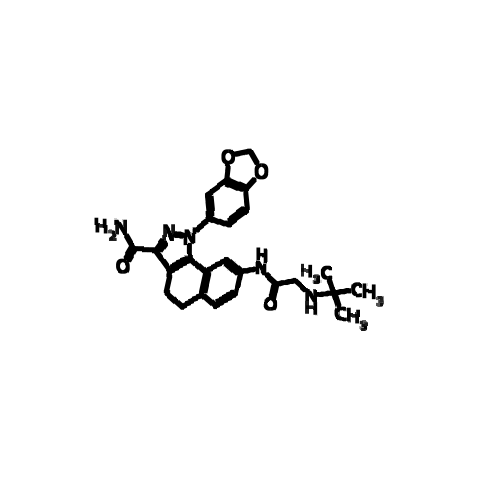 CC(C)(C)NCC(=O)Nc1ccc2c(c1)-c1c(c(C(N)=O)nn1-c1ccc3c(c1)OCO3)CC2